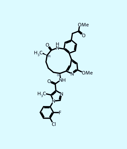 COC(=O)Cc1ccc2c(c1)NC(=O)[C@H](C)CCC[C@H](NC(=O)c1ncn(-c3cccc(Cl)c3F)c1C)c1cc-2cc(OC)n1